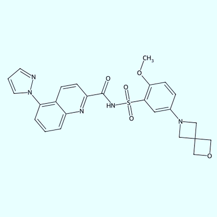 COc1ccc(N2CC3(COC3)C2)cc1S(=O)(=O)NC(=O)c1ccc2c(-n3cccn3)cccc2n1